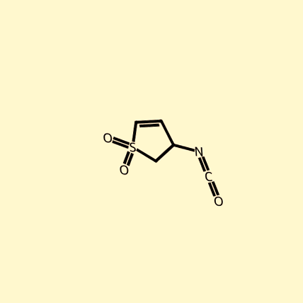 O=C=NC1C=CS(=O)(=O)C1